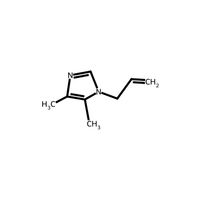 C=CCn1cnc(C)c1C